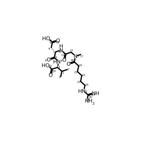 CC(C)[C@H](NC(=O)[C@H](CC(=O)O)NC(=O)CN(C)C(=O)CCCCCNC(=N)N)C(=O)O